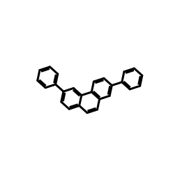 c1ccc(-c2ccc3c(ccc4ccc(-c5ccccc5)cc43)c2)cc1